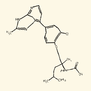 Cc1nc2c(-c3ccc(OCC(C)(CC(C)C)NC(=O)O)c(Cl)c3)ccnc2[nH]1